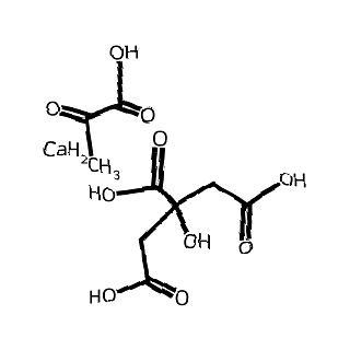 CC(=O)C(=O)O.O=C(O)CC(O)(CC(=O)O)C(=O)O.[CaH2]